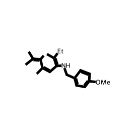 CC/C(C)=C(/C=C(/C)C(C)=C(C)C)NCc1ccc(OC)cc1